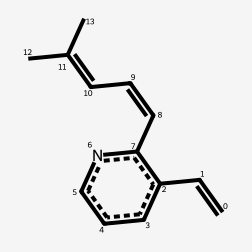 C=Cc1cccnc1/C=C\C=C(C)C